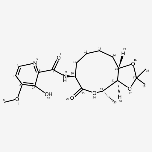 COc1ccnc(C(=O)N[C@H]2CCCC[C@@H]3OC(C)(C)O[C@H]3[C@H](C)OC2=O)c1O